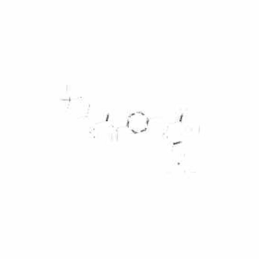 CC(C)(C)OC(=O)N[C@H](Cc1ccc(NC(=O)[C@@H](N)C2CCC(F)(F)CC2)cc1)C(=O)O